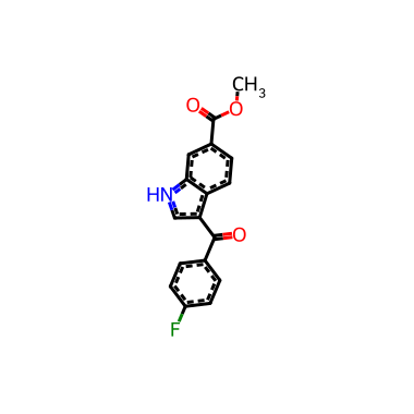 COC(=O)c1ccc2c(C(=O)c3ccc(F)cc3)c[nH]c2c1